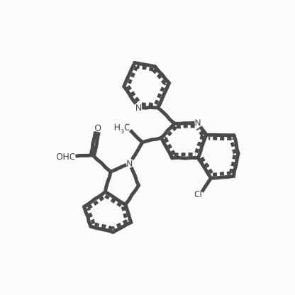 CC(c1cc2c(Cl)cccc2nc1-c1ccccn1)N1Cc2ccccc2C1C(=O)C=O